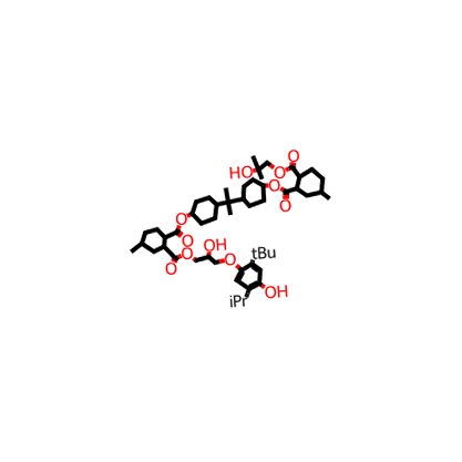 CC1CCC(C(=O)OC2CCC(C(C)(C)C3CCC(OC(=O)C4CC(C)CCC4C(=O)OCC(C)(C)O)CC3)CC2)C(C(=O)OCC(O)COc2cc(C(C)C)c(O)cc2C(C)(C)C)C1